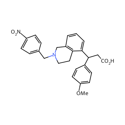 COc1ccc(C(CC(=O)O)c2cccc3c2CCN(Cc2ccc([N+](=O)[O-])cc2)C3)cc1